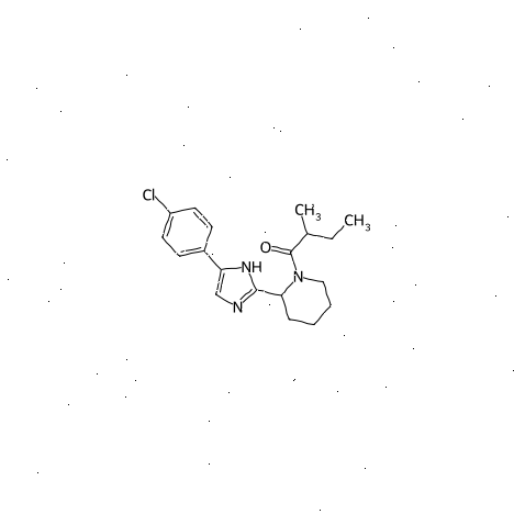 CCC(C)C(=O)N1CCCCC1c1ncc(-c2ccc(Cl)cc2)[nH]1